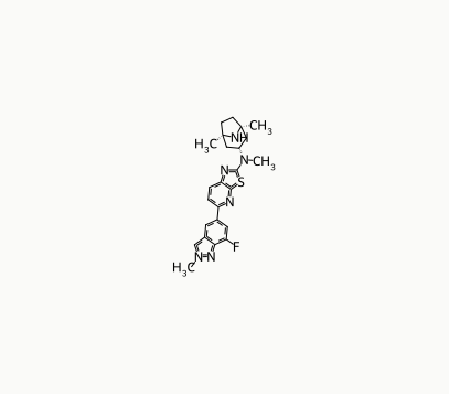 CN(c1nc2ccc(-c3cc(F)c4nn(C)cc4c3)nc2s1)[C@H]1C[C@]2(C)CC[C@](C)(C1)N2